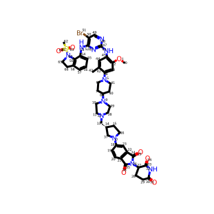 COc1cc(N2CCC(N3CCN(C[C@@H]4CCN(c5ccc6c(c5)C(=O)N(C5CCC(=O)NC5=O)C6=O)C4)CC3)CC2)c(C)cc1Nc1ncc(Br)c(Nc2cccc3c2N(S(C)(=O)=O)CC3)n1